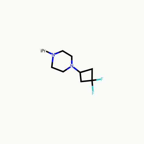 CC(C)N1CCN(C2CC(F)(F)C2)CC1